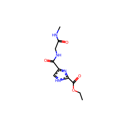 CCOC(=O)c1nc(C(=O)NCC(=O)NC)c[nH]1